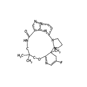 CC1(C)CNC(=O)c2cnn3ccc(nc23)N2CCC[C@@H]2C2(C)CC(F)=CN=C2OC1